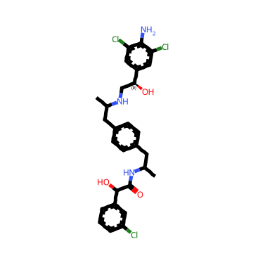 CC(Cc1ccc(CC(C)NC(=O)C(O)c2cccc(Cl)c2)cc1)NC[C@H](O)c1cc(Cl)c(N)c(Cl)c1